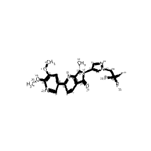 COc1cc(-c2ccc3c(n2)[C@H](C)N(c2cnn(CC(F)(F)F)c2)C3=O)cnc1OC